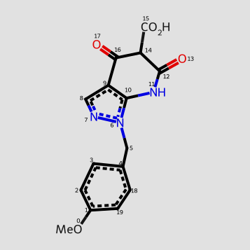 COc1ccc(Cn2ncc3c2NC(=O)C(C(=O)O)C3=O)cc1